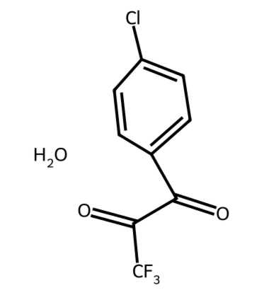 O.O=C(C(=O)C(F)(F)F)c1ccc(Cl)cc1